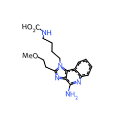 COCCc1nc2c(N)nc3ccccc3c2n1CCCCNC(=O)O